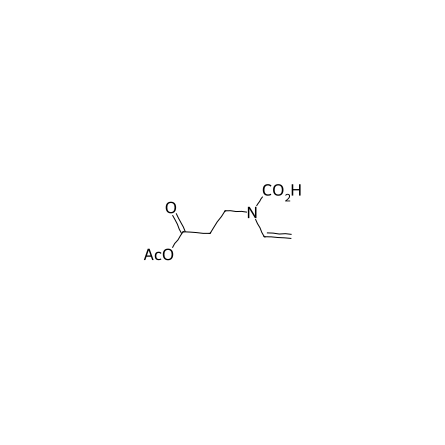 C=CN(CCC(=O)OC(C)=O)C(=O)O